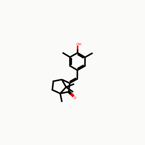 Cc1cc(C=C2C(=O)C3(C)CCC2C3(C)C)cc(C)c1O